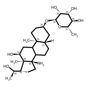 C[C@@H]1O[C@@H](O[C@@H]2CC[C@]3(C)C4C[C@H](O)[C@]5(C)[C@@H]([C@@H](C)O)CC[C@@]5(N)C4CC[C@H]3C2)[C@H](O)[C@H](O)[C@H]1O